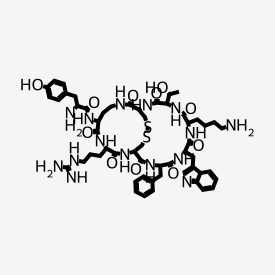 CC(O)C1NC(=O)C(CCCCN)NC(=O)C(CC2=CN=C3C=CC=CC23)NC(=O)C(Cc2ccccc2)NC(=O)C2CSSCC(NC1=O)C(=O)NCCC(NC(=O)C(N)Cc1ccc(O)cc1)C(=O)NC(CCCNC(=N)N)C(=O)N2